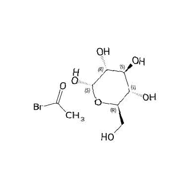 CC(=O)Br.OC[C@H]1O[C@H](O)[C@H](O)[C@@H](O)[C@@H]1O